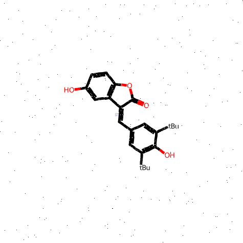 CC(C)(C)c1cc(/C=C2\C(=O)Oc3ccc(O)cc32)cc(C(C)(C)C)c1O